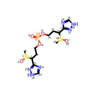 C[S+]([O-])C(CCO[PH](=O)OCCC(c1nc[nH]n1)[S+](C)[O-])c1nc[nH]n1